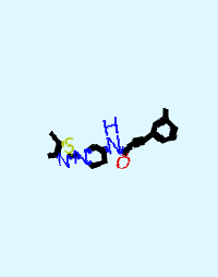 Cc1cccc(C#CC(=O)NC2CCN(c3nc(C)c(C)s3)C2)c1